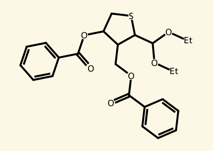 CCOC(OCC)C1SCC(OC(=O)c2ccccc2)C1COC(=O)c1ccccc1